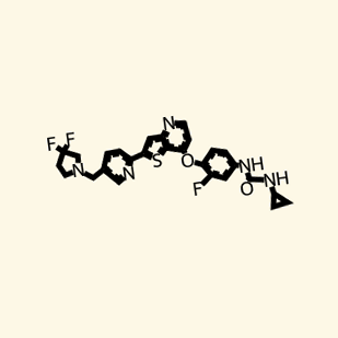 O=C(Nc1ccc(Oc2ccnc3cc(-c4ccc(CN5CCC(F)(F)C5)cn4)sc23)c(F)c1)NC1CC1